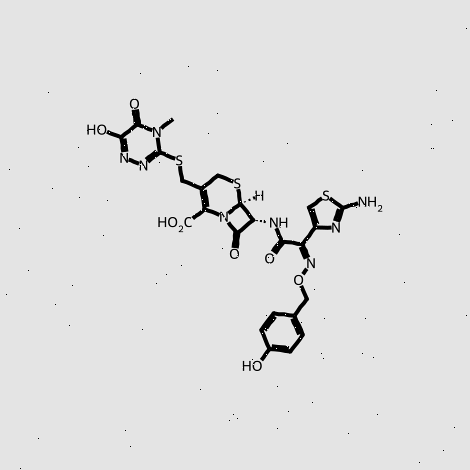 Cn1c(SCC2=C(C(=O)O)N3C(=O)[C@@H](NC(=O)/C(=N\OCc4ccc(O)cc4)c4csc(N)n4)[C@@H]3SC2)nnc(O)c1=O